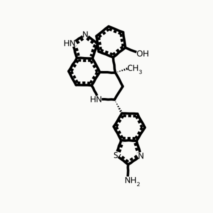 C[C@]1(c2ccccc2O)C[C@H](c2ccc3nc(N)sc3c2)Nc2ccc3[nH]ncc3c21